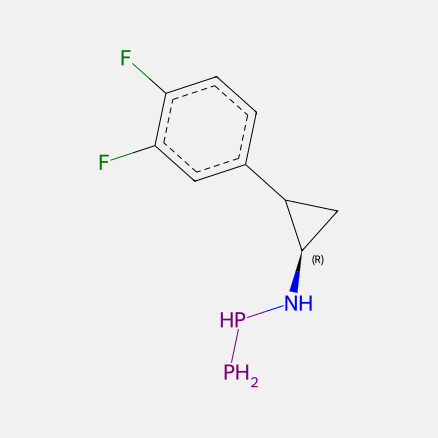 Fc1ccc(C2C[C@H]2NPP)cc1F